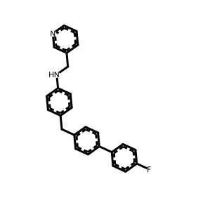 Fc1ccc(-c2ccc(Cc3ccc(NCc4cccnc4)cc3)cc2)cc1